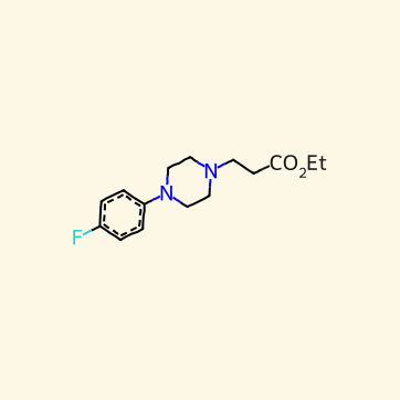 CCOC(=O)CCN1CCN(c2ccc(F)cc2)CC1